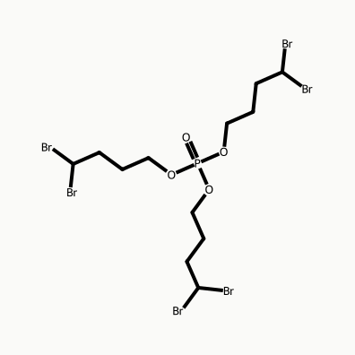 O=P(OCCCC(Br)Br)(OCCCC(Br)Br)OCCCC(Br)Br